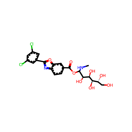 CNC(OC(=O)c1ccc2nc(-c3cc(Cl)cc(Cl)c3)oc2c1)[C@H](O)[C@@H](O)[C@H](O)[C@H](O)CO